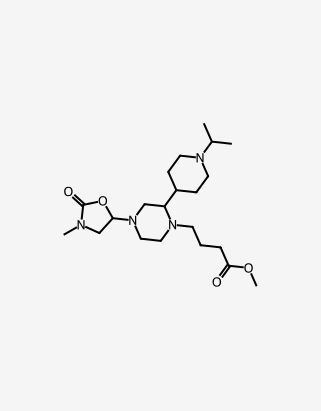 COC(=O)CCCN1CCN(C2CN(C)C(=O)O2)CC1C1CCN(C(C)C)CC1